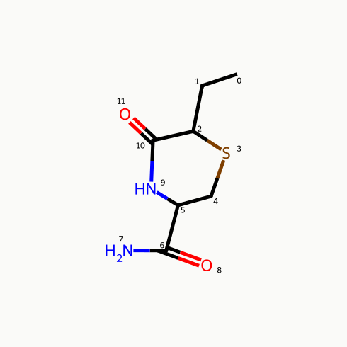 CCC1SCC(C(N)=O)NC1=O